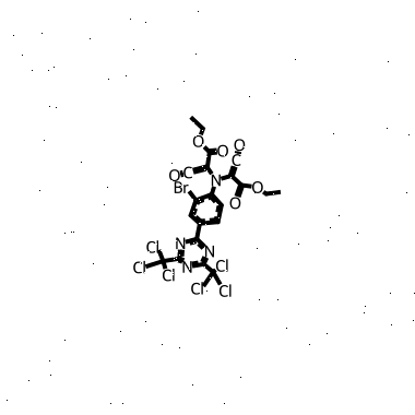 CCOC(=O)C(=C=O)N(C(=C=O)C(=O)OCC)c1ccc(-c2nc(C(Cl)(Cl)Cl)nc(C(Cl)(Cl)Cl)n2)cc1Br